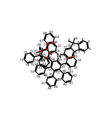 CC1(C)c2ccccc2-c2ccc(N(c3cccc4c3-c3ccccc3C4(C)C)c3c(-c4ccccc4)c(-c4ccccc4)c(-c4ccccc4)c(-c4ccccc4)c3-c3nc(-c4ccccc4)nc(-c4ccccc4)n3)cc21